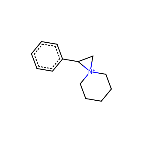 c1ccc(C2C[N+]23CCCCC3)cc1